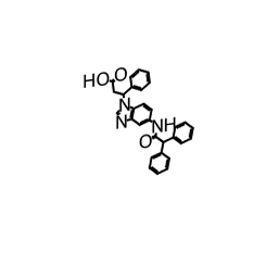 O=C(O)CC(c1ccccc1)n1cnc2cc(NC(=O)C(c3ccccc3)c3ccccc3)ccc21